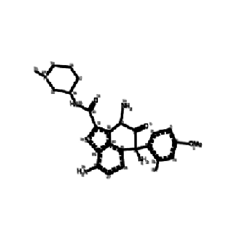 COc1ccc(C2(N)C(=O)C(N)c3c(C(=O)NC4CCCN(C)C4)sc4c(N)ccc2c34)c(C)c1